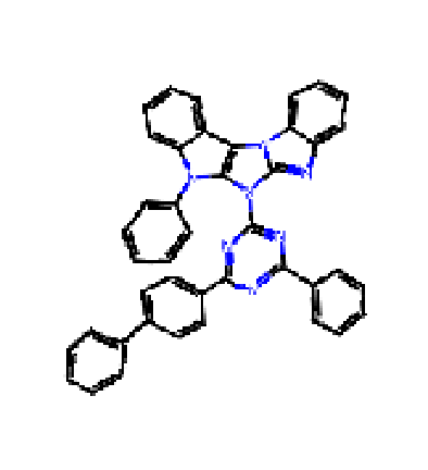 c1ccc(-c2ccc(-c3nc(-c4ccccc4)nc(-n4c5c(c6ccccc6n5-c5ccccc5)n5c6ccccc6nc45)n3)cc2)cc1